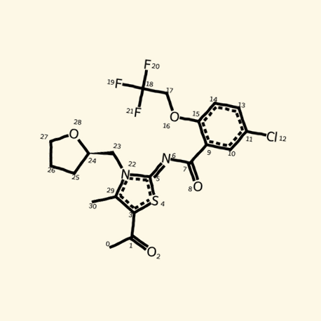 CC(=O)c1s/c(=N\C(=O)c2cc(Cl)ccc2OCC(F)(F)F)n(C[C@H]2CCCO2)c1C